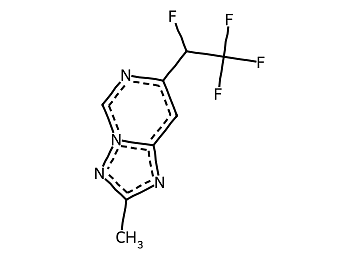 Cc1nc2cc(C(F)C(F)(F)F)ncn2n1